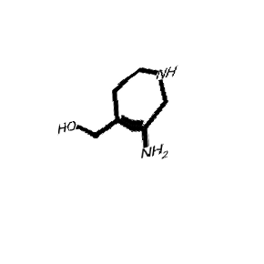 NC1=C(CO)CCNC1